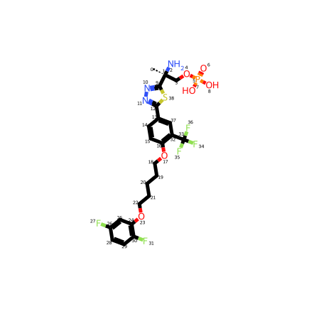 C[C@](N)(COP(=O)(O)O)c1nnc(-c2ccc(OCCCCCOc3cc(F)ccc3F)c(C(F)(F)F)c2)s1